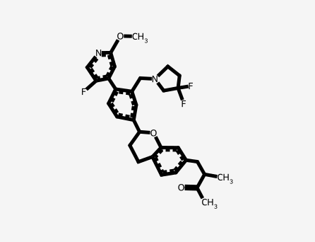 COc1cc(-c2ccc(C3CCc4ccc(CC(C)C(C)=O)cc4O3)cc2CN2CCC(F)(F)C2)c(F)cn1